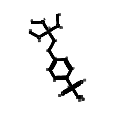 CO[Si](CCc1ccc(S(N)(=O)=O)cc1)(OC)OC